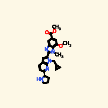 COC(=O)c1cc(OC)c2c(c1)nc(-c1cc3ccc([C@H]4CCCN4)nc3n1CC1CC1)n2C